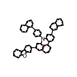 c1ccc(-c2ccc(-c3ccc4ccccc4c3)cc2N(c2ccc(-c3cccc4ccccc34)cc2)c2cccc(-c3ccc4c(c3)oc3ccccc34)c2)cc1